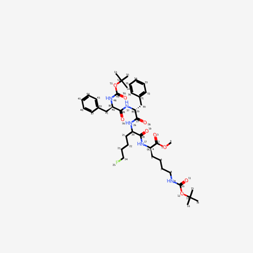 COC(=O)[C@@H](CCCCNC(=O)OC(C)(C)C)NC(=O)C(CCCCF)NC(=O)[C@@H](Cc1ccccc1)NC(=O)[C@@H](Cc1ccccc1)NC(=O)OC(C)(C)C